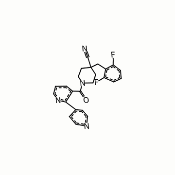 N#CC1(Cc2c(F)cccc2F)CCN(C(=O)c2cccnc2-c2ccncc2)CC1